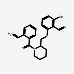 C=Cc1ccccc1C(=O)N1CCCCC1COc1cccc(O)c1C=O